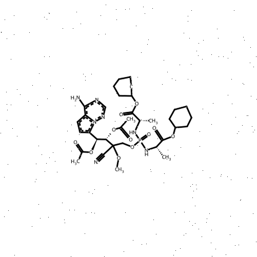 COC(C#N)(COP(=O)(N[C@@H](C)C(=O)OC1CCCCC1)N[C@@H](C)C(=O)OC1CCCCC1)[C@@H](OC(C)=O)[C@@H](OC(C)=O)c1ccc2c(N)ncnn12